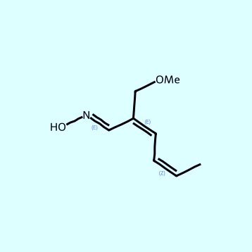 C\C=C/C=C(\C=N\O)COC